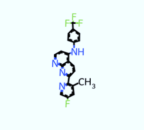 Cc1cc(F)cnc1-c1ccc2c(Nc3ccc(C(F)(F)F)cc3)ccnc2n1